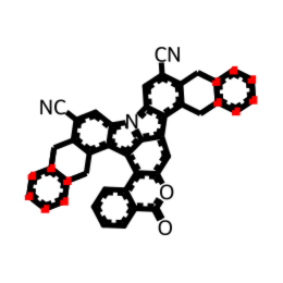 N#Cc1cc2c(c3c1C1c4ccccc4C3c3ccccc31)c1cc3oc(=O)c4ccccc4c3c3c4c5c(c(C#N)cc4n2c13)C1c2ccccc2C5c2ccccc21